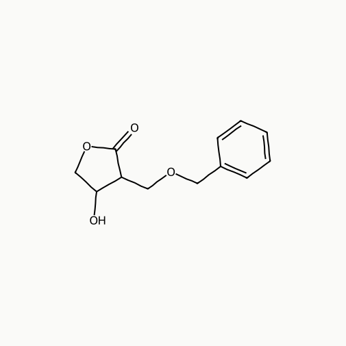 O=C1OCC(O)C1COCc1ccccc1